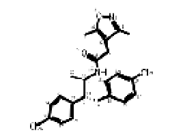 Cc1noc(C)c1CC(=O)N[C@H](C)[C@H](Cc1ccc(Cl)cc1)c1ccc(Cl)cc1